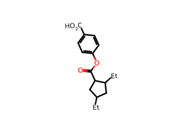 CCC1CC(CC)C(C(=O)Oc2ccc(C(=O)O)cc2)C1